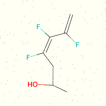 C=C(F)/C(F)=C(/F)CC(C)O